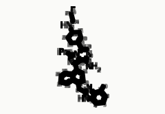 Cc1cccc2[nH]c(Cc3ccc(-c4nc(C(C)C)n5c(C6=CCC(NCCF)CC6)cnc(N)c45)c4ccccc34)nc12